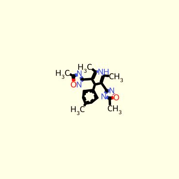 CC1=C(c2noc(C)n2)C(c2ccc(C)cc2)C(c2noc(C)n2)=C(C)N1